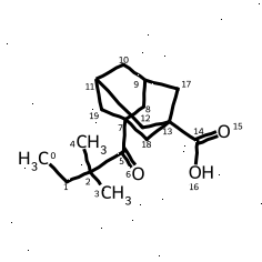 CCC(C)(C)C(=O)C12CC3CC(CC(C(=O)O)(C3)C1)C2